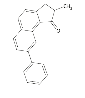 CC1Cc2ccc3ccc(-c4ccccc4)cc3c2C1=O